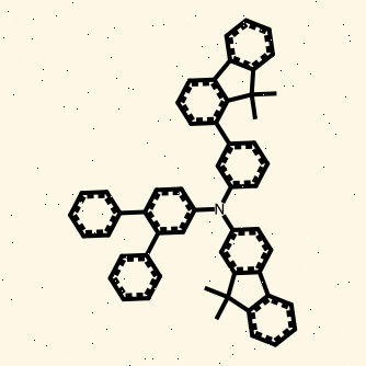 CC1(C)c2ccccc2-c2ccc(N(c3cccc(-c4cccc5c4C(C)(C)c4ccccc4-5)c3)c3ccc(-c4ccccc4)c(-c4ccccc4)c3)cc21